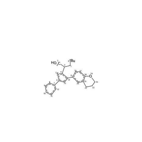 CC(C)(C)CC(C(=O)O)c1sc(-c2ccccc2)cc1-c1ccc2c(c1)CCCO2